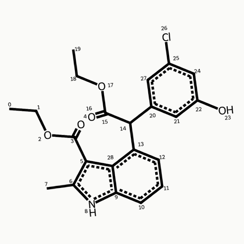 CCOC(=O)c1c(C)[nH]c2cccc(C(C(=O)OCC)c3cc(O)cc(Cl)c3)c12